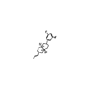 CC=CC1CC[C@H]2CC(c3cc(F)cc(F)c3)CC[C@@H]2C1